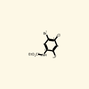 CCOC(=O)Nc1cc(Br)c(Cl)cc1F